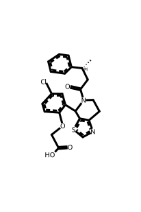 C[C@H](CC(=O)N1CCc2ncsc2C1c1cc(Cl)ccc1OCC(=O)O)c1ccccc1